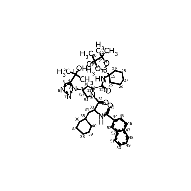 CC(C)(O)c1cnnn1[C@H]1C[C@@H](C(=O)NC2(B3OC(C)(C)C(C)(C)O3)CCCCC2)N(C(=O)C(CC2CCCCC2)NC(=O)c2ccc3ccccc3c2)C1